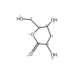 O=C1OC(CO)C(O)CC1O